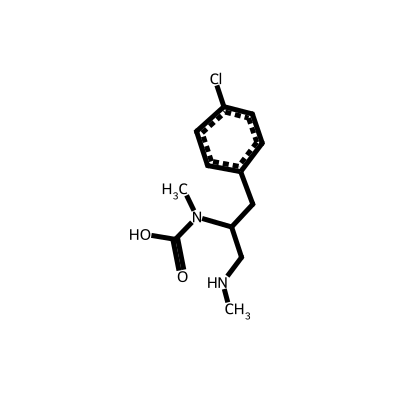 CNCC(Cc1ccc(Cl)cc1)N(C)C(=O)O